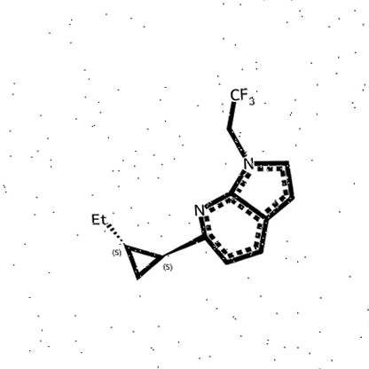 CC[C@H]1C[C@@H]1c1ccc2ccn(CC(F)(F)F)c2n1